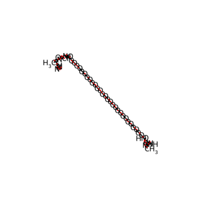 Cc1cnc(N2CCC(C(=O)NCCOCCOCCOCCOCCOCCOCCOCCOCCOCCOCCOCCOCCOCCOCCOCCOCCOCCOCCOCCOCCOCCOCCOCCOCCOCCOCCOCCOCCC(=O)N3CCN(Cc4ccc(NC(=O)c5ccc(C)c(C#Cc6cnc7cccnn67)c5)cc4C(F)(F)F)CC3)CC2)c(-c2ccn[nH]2)c1